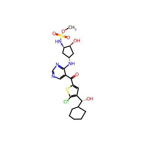 COS(=O)(=O)N[C@@H]1C[C@@H](Nc2ncncc2C(=O)c2cc([C@H](O)C3CCCCC3)c(Cl)s2)C[C@@H]1O